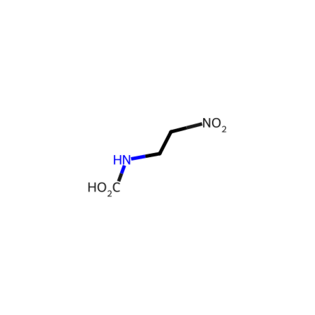 O=C(O)NCC[N+](=O)[O-]